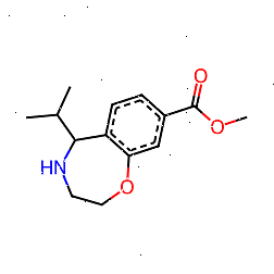 COC(=O)c1ccc2c(c1)OCCNC2C(C)C